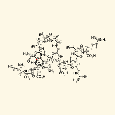 CC(C)C[C@H](NC(=O)[C@H](CCCNC(=N)N)NC(=O)[C@H](CCC(=O)O)NC(=O)[C@H](C)NC(=O)CNC(=O)[C@@H](NC(=O)[C@@H](NC(=O)[C@@H](NC(=O)[C@H](CCC(=O)O)NC(=O)[C@H](CC(N)=O)NC(=O)[C@H](CC(N)=O)NC(=O)[C@H](CC(=O)O)NC(=O)[C@H](C)NC(=O)[C@@H](N)CO)C(C)C)C(C)C)C(C)C)C(=O)N[C@@H](CCCNC(=N)N)C(=O)O